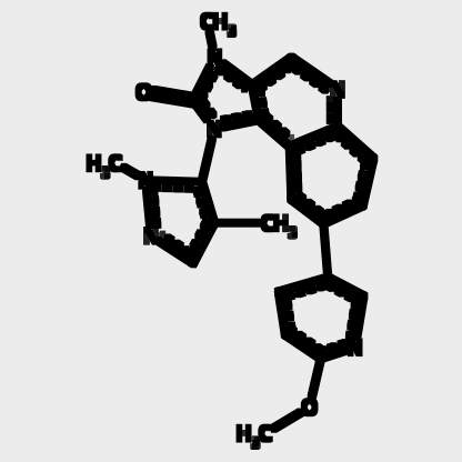 COc1ccc(-c2ccc3ncc4c(c3c2)n(-c2c(C)cnn2C)c(=O)n4C)cn1